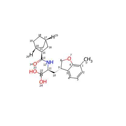 Cc1cccc2c1OC[C@H]2C[C@H](NC(=O)[C@@H]1C[C@H]2CC[C@@H]1C2)B(O)O